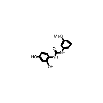 COc1cccc(NC(=O)Nc2ccc(O)cc2O)c1